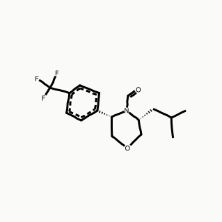 CC(C)C[C@@H]1COC[C@H](c2ccc(C(F)(F)F)cc2)N1C=O